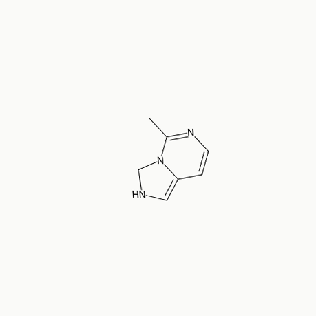 CC1=NC=CC2=CNCN21